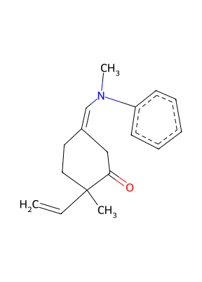 C=CC1(C)CCC(=CN(C)c2ccccc2)CC1=O